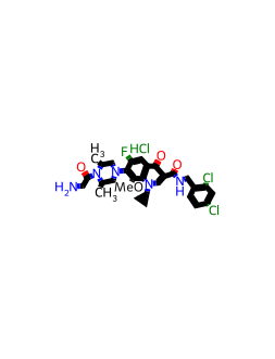 COc1c(N2CC(C)N(C(=O)CN)C(C)C2)c(F)cc2c(=O)c(C(=O)NCc3ccc(Cl)cc3Cl)cn(C3CC3)c12.Cl